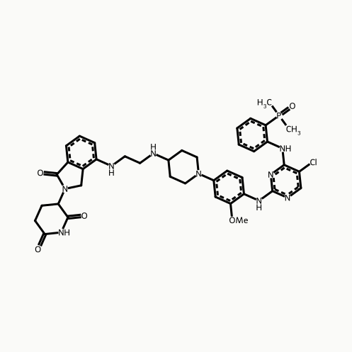 COc1cc(N2CCC(NCCNc3cccc4c3CN(C3CCC(=O)NC3=O)C4=O)CC2)ccc1Nc1ncc(Cl)c(Nc2ccccc2P(C)(C)=O)n1